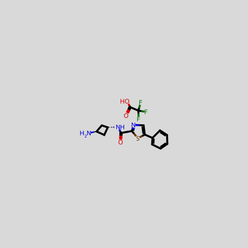 N[C@H]1C[C@H](NC(=O)c2ncc(-c3ccccc3)s2)C1.O=C(O)C(F)(F)F